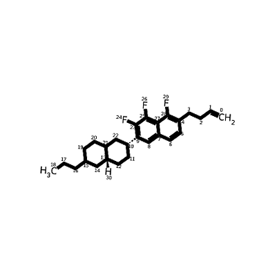 C=CCCc1ccc2cc([C@@H]3CC[C@@H]4CC(CCC)CCC4C3)c(F)c(F)c2c1F